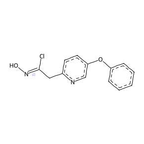 O/N=C(\Cl)Cc1ccc(Oc2ccccc2)cn1